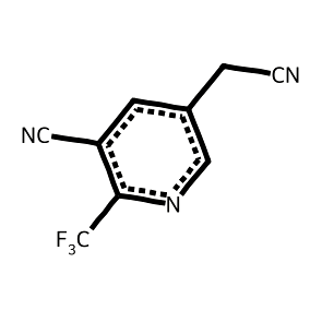 N#CCc1cnc(C(F)(F)F)c(C#N)c1